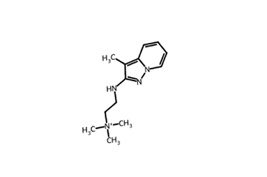 Cc1c(NCC[N+](C)(C)C)nn2ccccc12